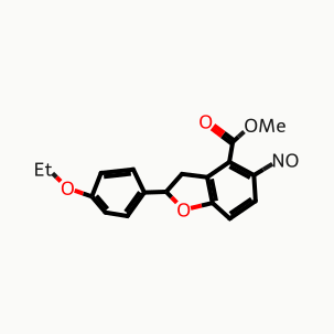 CCOc1ccc(C2Cc3c(ccc(N=O)c3C(=O)OC)O2)cc1